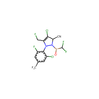 N#CC1C(Cl)=C(CF)N(c2c(F)cc(C(F)(F)F)cc2Cl)N1[S+]([O-])C(F)F